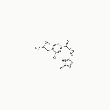 CN(C)Cc1ccc(C(=O)[C@H]2C[C@@H]2c2noc(=O)[nH]2)cc1Cl